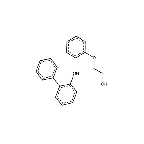 OCCOc1ccccc1.Oc1ccccc1-c1ccccc1